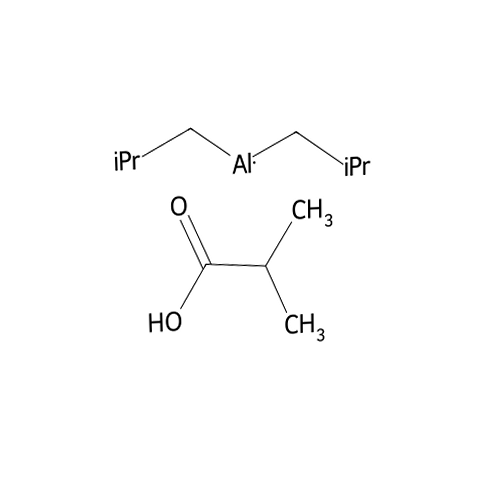 CC(C)C(=O)O.CC(C)[CH2][Al][CH2]C(C)C